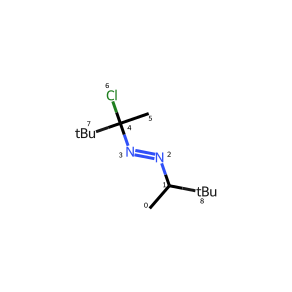 CC(N=NC(C)(Cl)C(C)(C)C)C(C)(C)C